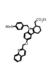 CCOC(=O)CC1CCCc2c1n(Cc1ccc(SC)cc1)c1ccc(OCc3ccc4ccccc4n3)cc21